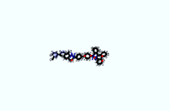 C=C/C=C(\C=C/C)C(=C)/C=C\C1=C(C)C2N=C(c3ccc(C4C=CC(c5nc6c7ccccc7c7c(c6c6ccccc56)CCCC7)=CC4)cc3)C=CC2C=C1